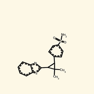 CC1(C)C(c2ccc(S(N)(=O)=O)cc2)C1c1nc2ccccc2s1